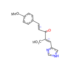 COc1ccc(/C=C/C(=O)/C(=C/c2c[nH]cn2)C(=O)O)cc1